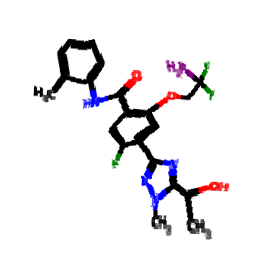 Cc1ccccc1NC(=O)c1cc(F)c(-c2nc(C(C)O)n(C)n2)cc1OCC(F)(F)P